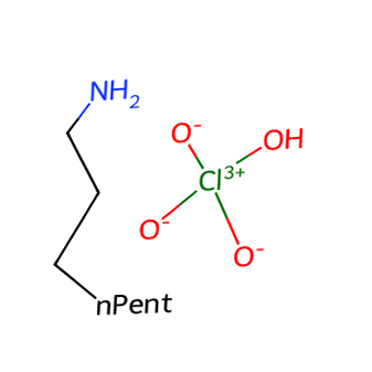 CCCCCCCCN.[O-][Cl+3]([O-])([O-])O